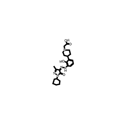 CC1=NN(C2CCCCC2)C(=O)C1=NNc1cccc(C2CCN(CC(=O)O)CC2)c1O